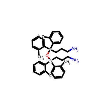 Cc1ccccc1[Si](CCCN)(O[Si](CCCN)(c1ccccc1C)c1ccccc1C)c1ccccc1C